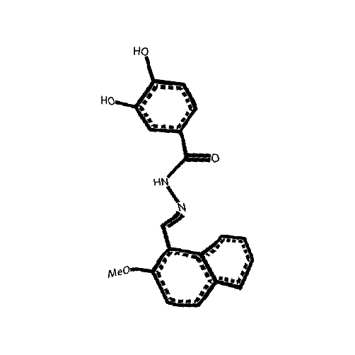 COc1ccc2ccccc2c1C=NNC(=O)c1ccc(O)c(O)c1